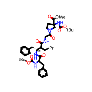 COC(=O)C1(NC(=O)OC(C)(C)C)CCN(C(=O)CNC(=O)C(CC(C)C)[C@@H](Cc2ccccc2)NC(=O)C(Cc2ccccc2)NC(=O)OC(C)(C)C)C1